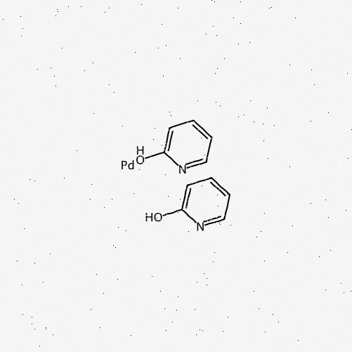 Oc1ccccn1.Oc1ccccn1.[Pd]